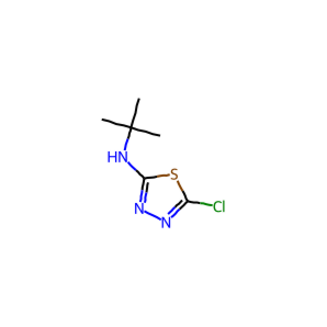 CC(C)(C)Nc1nnc(Cl)s1